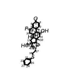 C[C@]12C=CC(=O)C=C1[C@@H](F)C[C@H]1[C@@H]3C[C@H]4CN(CCSc5ccccc5)O[C@@]4(C(=O)O)[C@@]3(C)C[C@H](O)[C@@]12F